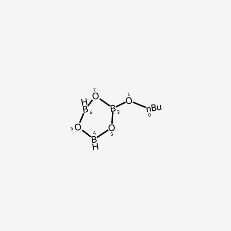 CCCCOB1OBOBO1